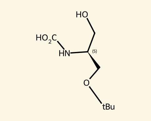 CC(C)(C)OC[C@H](CO)NC(=O)O